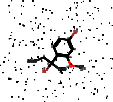 COCC(Br)(C=O)c1ccc(Br)cc1OC(F)(F)F